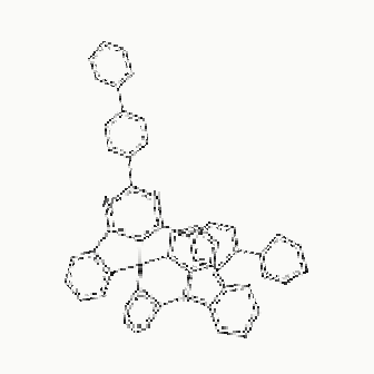 c1ccc(-c2ccc(-c3nc(-c4ccc(-c5ccccc5)cc4)c4c(n3)-c3ccccc3C43c4ccccc4-n4c5ccccc5c5cccc3c54)cc2)cc1